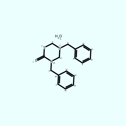 O.S=C1SCN(Cc2ccccc2)CN1Cc1ccccc1